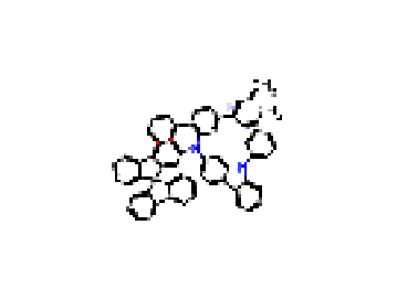 C=C/C=C(\C=C/C)c1ccc(-c2ccccc2)c(N(c2ccc3c(c2)C2(c4ccccc4-c4ccccc42)c2ccccc2-3)c2ccc3c4ccccc4n(-c4ccccc4)c3c2)c1